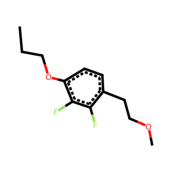 CCCOc1ccc(CCOC)c(F)c1F